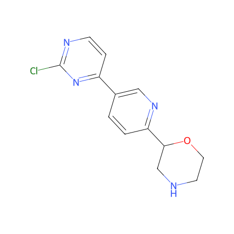 Clc1nccc(-c2ccc(C3CNCCO3)nc2)n1